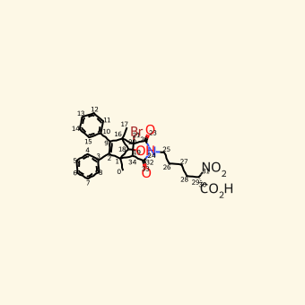 CC12C(c3ccccc3)=C(c3ccccc3)C(C)(C1O)C1(Br)C(=O)N(CCCC[C@@H](C(=O)O)[N+](=O)[O-])C(=O)C21